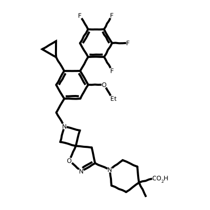 CCOc1cc(CN2CC3(CC(N4CCC(C)(C(=O)O)CC4)=NO3)C2)cc(C2CC2)c1-c1cc(F)c(F)c(F)c1F